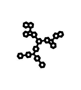 c1ccc(-c2ccc(N(c3ccc(-c4ccccc4)cc3)c3ccc(-c4cc(-c5ccc6c(c5)c5ccccc5n6-c5ccc6ccccc6c5)cc(-c5ccc6c(c5)c5ccccc5n6-c5cccc6ccccc56)c4)cc3)cc2)cc1